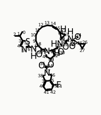 CC(C)c1cnc(N[C@H]2CCCCCC=C[C@@H]3C[C@@]3(C(=O)NS(=O)(=O)C3CC3)NC(=O)[C@@H]3C[C@@H](OC(=O)N4Cc5cccc(F)c5C4)CN3C2=O)s1